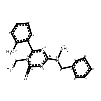 CCn1c(-c2ccccc2C)nc(N(N)Cc2ccccc2)nc1=O